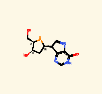 O=c1[nH]cnc2c1N=CC2[C@H]1C[C@H](O)[C@@H](CO)P1